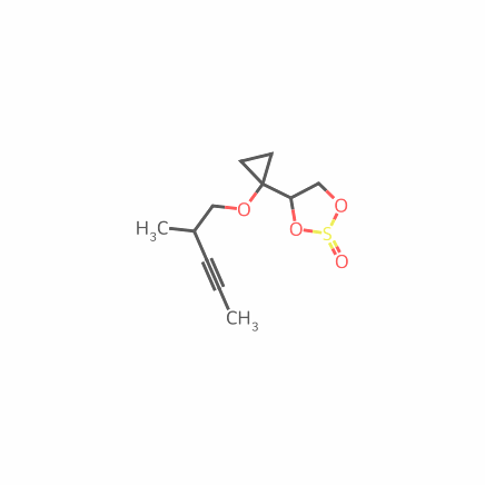 CC#CC(C)COC1(C2COS(=O)O2)CC1